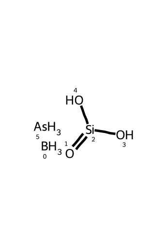 B.O=[Si](O)O.[AsH3]